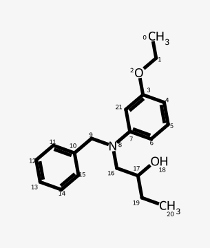 CCOc1cccc(N(Cc2ccccc2)CC(O)CC)c1